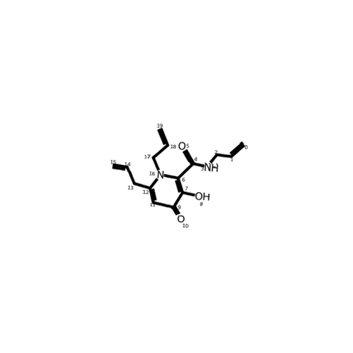 C=CCNC(=O)c1c(O)c(=O)cc(CC=C)n1CC=C